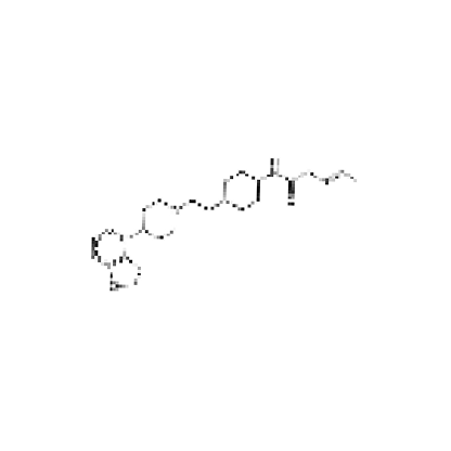 C/C=C/CC(=O)NC1CCC(CCN2CCC(c3cccc4c3CCO4)CC2)CC1